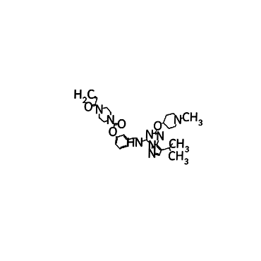 C=CC(=O)N1CCN(C(=O)Oc2cccc(CNc3nc(OC4CCN(C)CC4)nc4c(C(C)C)cnn34)c2)CC1